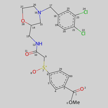 COC(=O)c1ccc([S+]([O-])CC(=O)NCC2CN(Cc3ccc(Cl)c(Cl)c3)CCO2)cc1